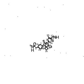 CNC(=O)Cc1ccc(N2C(=S)N(c3cnc(C=N)c(C)c3)C(=O)C23CCC3)cc1